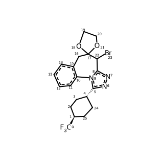 FC(F)(F)[C@H]1CC[C@H](c2nnc3n2-c2ccccc2CC2(OCCO2)C3Br)CC1